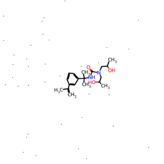 C=C(C)c1cccc(C(C)(C)NC(=O)N(CC(C)O)CC(C)O)c1